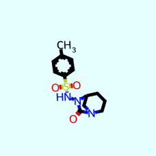 Cc1ccc(S(=O)(=O)NN2C(=O)N3CCCC2C3)cc1